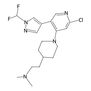 CN(C)CCC1CCN(c2cc(Cl)ncc2-c2cnn(C(F)F)c2)CC1